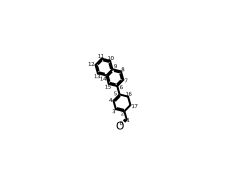 O=CC1=CC=C(c2ccc3ccccc3c2)CC1